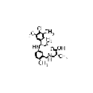 CC[C@@H](Nc1ccc(C)c(CNC[C@H](C)C(=O)O)c1)c1cc(C)c(Cl)c(C)c1